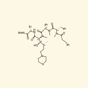 CC[C@H](NC(=O)[C@H]([C@H](O)[C@H](C)CCN1CCOCC1)N(C)C(=O)[C@H](C(C)C)N(C)C(=O)[C@H](CC(C)C)N(C)C(=O)CCC(C)C)C(=O)NC